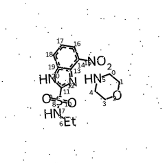 C1COCCN1.CCNS(=O)(=O)c1nc2c([N+](=O)[O-])cccc2[nH]1